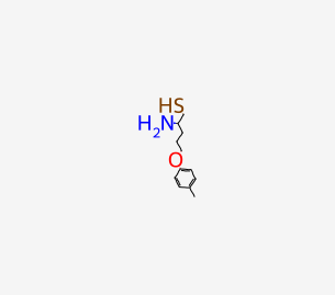 Cc1ccc(OCCC[C@@H](N)CS)cc1